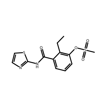 CCc1c(OS(C)(=O)=O)cccc1C(=O)Nc1nccs1